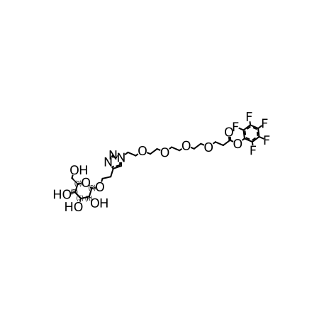 O=C(CCOCCOCCOCCOCCn1cc(CCO[C@@H]2O[C@H](CO)[C@H](O)[C@H](O)[C@H]2O)nn1)Oc1c(F)c(F)c(F)c(F)c1F